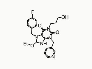 CCOC1Nc2c(c(=O)n(CCCO)c(=O)n2Cc2cccnc2)N1Cc1ccc(F)cc1